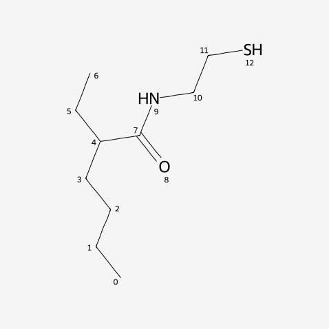 CCCCC(CC)C(=O)NCCS